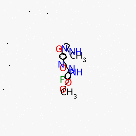 CNCC1CCCN1C(=O)c1ccc(-c2cc(-c3n[nH]c4cc(OCCOC)c(F)cc34)on2)cc1